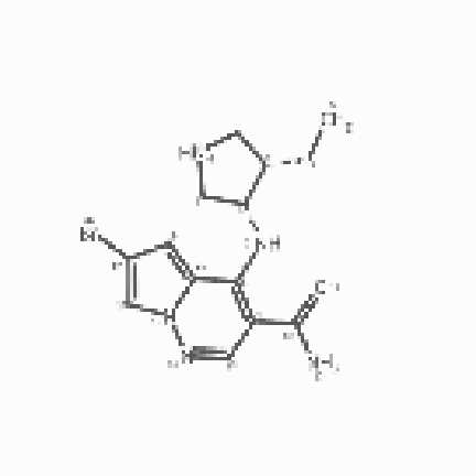 CC[C@H]1CNC[C@H]1Nc1c(C(N)=O)cnn2cc(Br)cc12